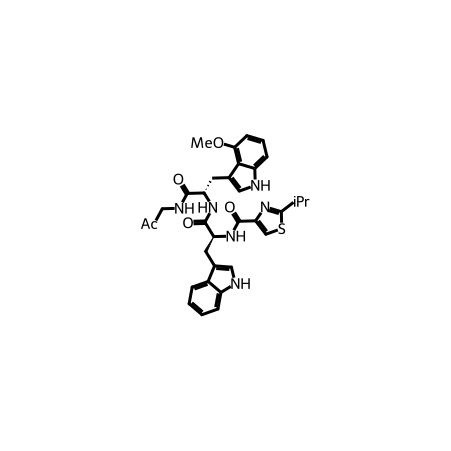 COc1cccc2[nH]cc(C[C@H](NC(=O)[C@H](Cc3c[nH]c4ccccc34)NC(=O)c3csc(C(C)C)n3)C(=O)NCC(C)=O)c12